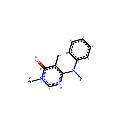 Cc1c(N(C)c2ccccc2)ncn(C(C)C)c1=O